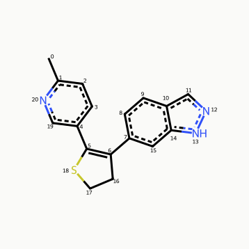 Cc1ccc(C2=C(c3ccc4cn[nH]c4c3)CCS2)cn1